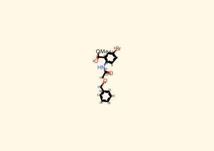 COC(=O)c1cc(Br)ccc1NC(=O)COCc1ccccc1